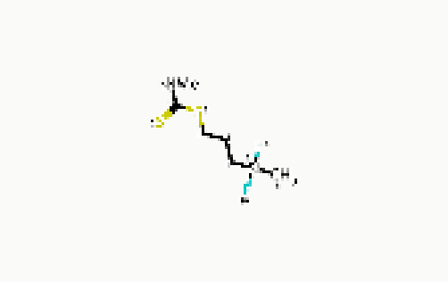 CNC(=S)SCCC[Si](C)(F)F